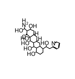 NC(O)C1C(=O)[C@@]2(O)C(O)C3C(O)C4C(O)CCC(C(O)Cc5ccccn5)C4C[C@H]3C[C@H]2CC1O